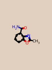 Cc1nc2c(C(N)=O)[c]ccc2o1